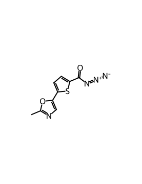 Cc1ncc(-c2ccc(C(=O)N=[N+]=[N-])s2)o1